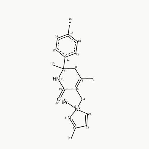 CC1=N[N+](CC2=C(C)CC(C)(c3ccc(F)cc3)NC2=O)(C(C)C)C=C1